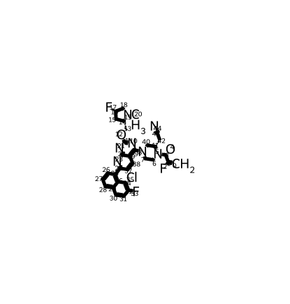 C=C(F)C(=O)N1CCN(c2nc(OC[C@@H]3C[C@@H](F)CN3C)nc3nc(-c4cccc5ccc(F)c(Cl)c45)ccc23)C[C@@H]1CC#N